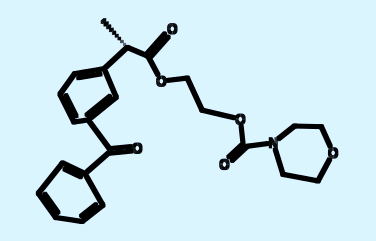 C[C@H](C(=O)OCCOC(=O)N1CCOCC1)c1cccc(C(=O)c2ccccc2)c1